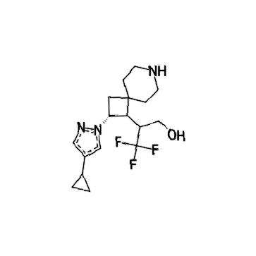 OCC(C1[C@H](n2cc(C3CC3)cn2)CC12CCNCC2)C(F)(F)F